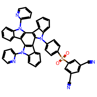 N#Cc1cc(C#N)cc(S(=O)(=O)c2ccc(-n3c4ccccc4c4c3c3c5ccccc5n(-c5ccccn5)c3c3c5ccccc5n(-c5ccccn5)c43)cc2)c1